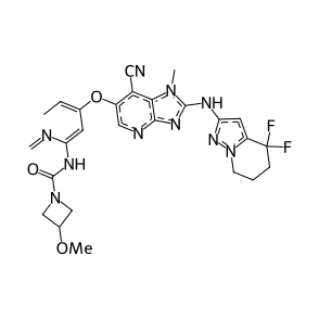 C=N/C(=C\C(=C/C)Oc1cnc2nc(Nc3cc4n(n3)CCCC4(F)F)n(C)c2c1C#N)NC(=O)N1CC(OC)C1